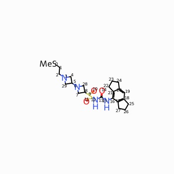 CSCCN1CC(N2CC(S(=O)(=O)NC(=O)Nc3c4c(cc5c3CCC5)CCC4)C2)C1